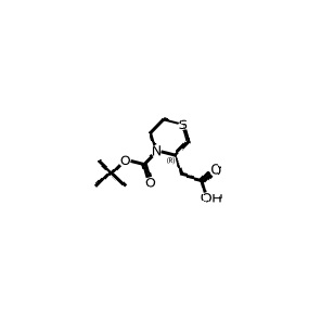 CC(C)(C)OC(=O)N1CCSC[C@H]1CC(=O)O